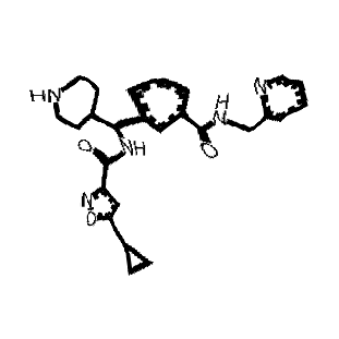 O=C(NCc1ccccn1)c1cccc(C(NC(=O)c2cc(C3CC3)on2)C2CCNCC2)c1